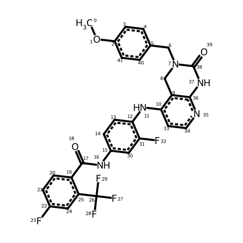 COc1ccc(CN2Cc3c(Nc4ccc(NC(=O)c5ccc(F)cc5C(F)(F)F)cc4F)ccnc3NC2=O)cc1